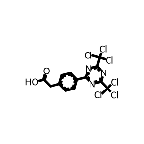 O=C(O)Cc1ccc(-c2nc(C(Cl)(Cl)Cl)nc(C(Cl)(Cl)Cl)n2)cc1